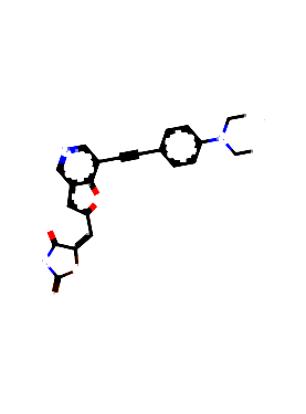 CCN(CC)c1ccc(C#Cc2cncc3cc(/C=C4/SC(=S)NC4=O)oc23)cc1